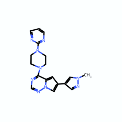 Cn1cc(-c2cc3c(N4CCN(c5nc[c]cn5)CC4)ncnn3c2)cn1